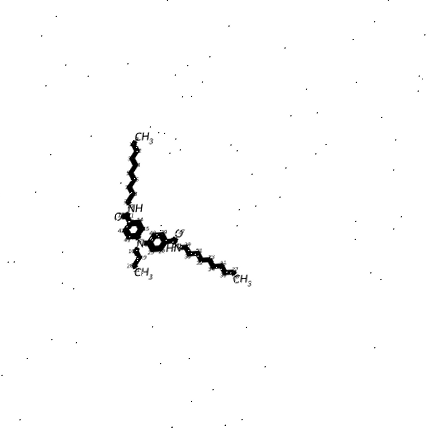 CCCCCCCCCCNC(=O)c1ccc(N(CCCC)c2ccc(C(=O)NCCCCCCCCCC)cc2)cc1